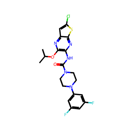 CC(C)Oc1nc2cc(Cl)sc2nc1NC(=O)N1CCN(c2cc(F)cc(F)c2)CC1